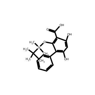 CC(C)(C)[Si](C)(C)Oc1c(C(=O)O)c(O)cc(O)c1-c1ccccc1